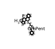 CCCCCN(CCCC[C@@H]1Cc2ccccc2C2C1C1CCC[C@@]1(C)C[C@@H]2F)C(=O)c1ccccc1